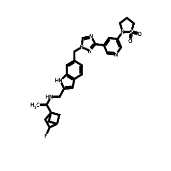 CC(NCc1cc2ccc(Cn3cnc(-c4cncc(N5CCCS5(=O)=O)c4)n3)cc2[nH]1)C12CC(F)C(C1)C2